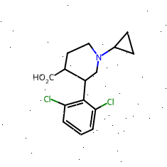 O=C(O)C1CCN(C2CC2)CC1c1c(Cl)cccc1Cl